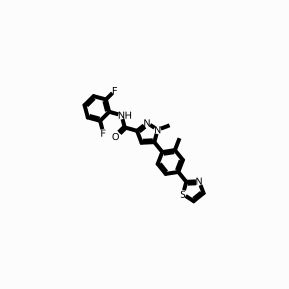 Cc1cc(-c2nccs2)ccc1-c1cc(C(=O)Nc2c(F)cccc2F)nn1C